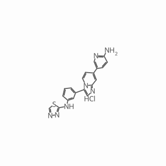 Cl.Nc1ccc(-c2ccn3c(-c4cccc(Nc5nncs5)c4)cnc3c2)cn1